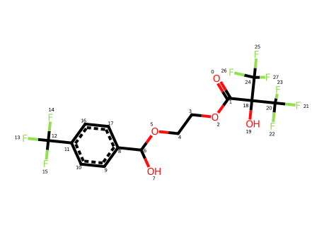 O=C(OCCOC(O)c1ccc(C(F)(F)F)cc1)C(O)(C(F)(F)F)C(F)(F)F